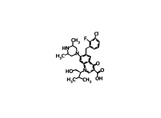 CC1CN(c2cc3c(cc2Cc2cccc(Cl)c2F)c(=O)c(C(=O)O)cn3[C@H](CO)C(C)C)CC(C)N1